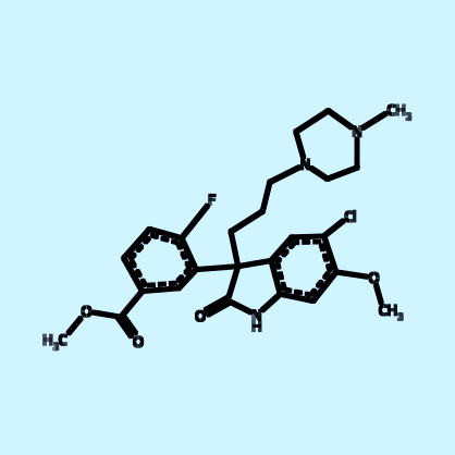 COC(=O)c1ccc(F)c(C2(CCCN3CCN(C)CC3)C(=O)Nc3cc(OC)c(Cl)cc32)c1